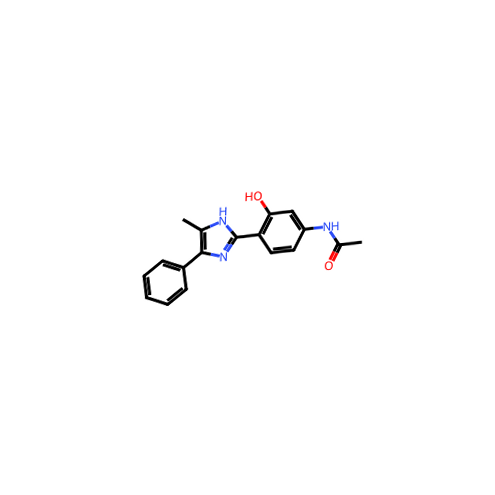 CC(=O)Nc1ccc(-c2nc(-c3ccccc3)c(C)[nH]2)c(O)c1